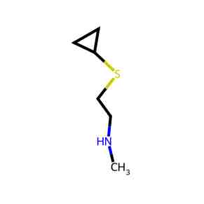 CNCCSC1CC1